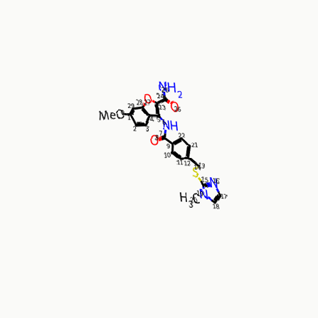 COc1ccc2c(NC(=O)c3ccc(CSc4nccn4C)cc3)c(C(N)=O)oc2c1